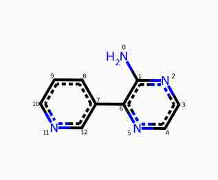 Nc1nccnc1-c1cccnc1